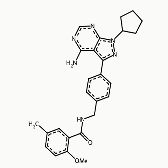 COc1ccc(C)cc1C(=O)NCc1ccc(-c2nn(C3CCCC3)c3ncnc(N)c23)cc1